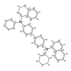 C1=C(N(c2ccccc2)c2ccc(-c3ccc(N(C4=CCCCC4)c4cccc5ccccc45)cc3)cc2)c2ccccc2CC1